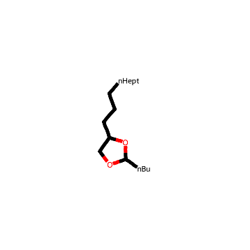 CCCCCCCCCCC1COC(CCCC)O1